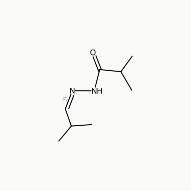 CC(C)/C=N\NC(=O)C(C)C